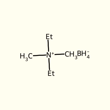 CC[N+](C)(C)CC.[BH4-]